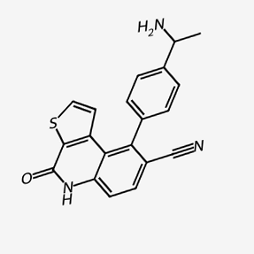 CC(N)c1ccc(-c2c(C#N)ccc3[nH]c(=O)c4sccc4c23)cc1